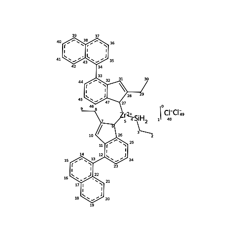 CC.CC[SiH2][Zr+2]([CH]1C(CC)=Cc2c(-c3cccc4ccccc34)cccc21)[CH]1C(CC)=Cc2c(-c3cccc4ccccc34)cccc21.[Cl-].[Cl-]